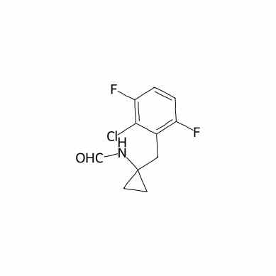 O=CNC1(Cc2c(F)ccc(F)c2Cl)CC1